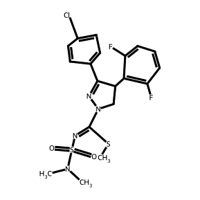 CSC(=NS(=O)(=O)N(C)C)N1CC(c2c(F)cccc2F)C(c2ccc(Cl)cc2)=N1